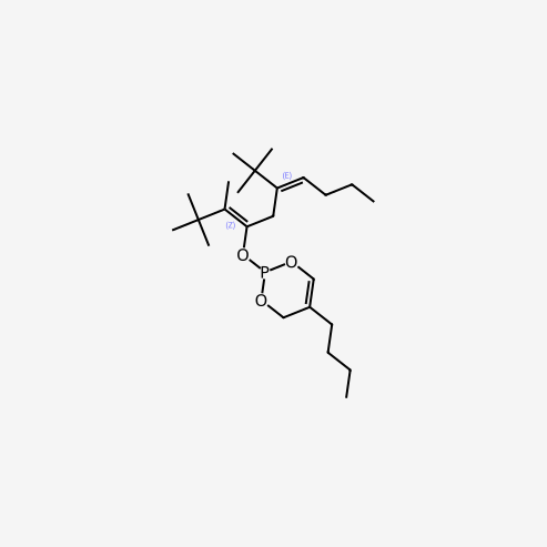 CCC/C=C(\C/C(OP1OC=C(CCCC)CO1)=C(\C)C(C)(C)C)C(C)(C)C